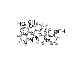 COc1ccc(C(F)(F)F)cc1N1C(N2CCn3c(cc4c(OC)cccc43)C2)=Nc2c(F)cccc2C1CC(=O)O